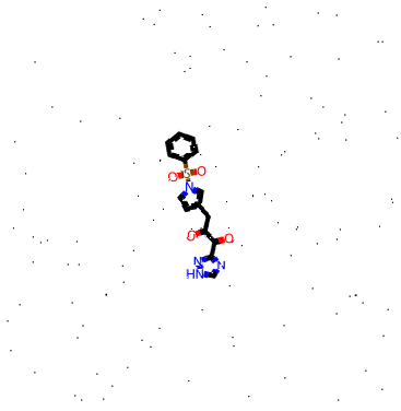 O=C(Cc1ccn(S(=O)(=O)c2ccccc2)c1)C(=O)c1nc[nH]n1